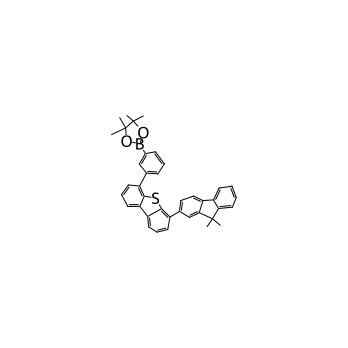 CC1(C)c2ccccc2-c2ccc(-c3cccc4c3sc3c(-c5cccc(B6OC(C)(C)C(C)(C)O6)c5)cccc34)cc21